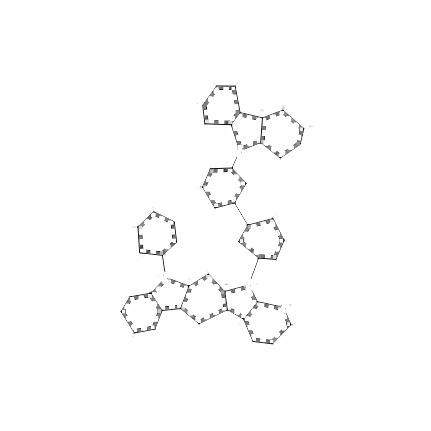 c1ccc(-n2c3ccccc3c3cc4c5cccnc5n(-c5cccc(-c6cccc(-n7c8ccccc8c8ccccc87)c6)c5)c4cc32)cc1